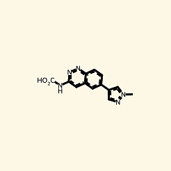 Cn1cc(-c2ccc3nnc(NC(=O)O)cc3c2)cn1